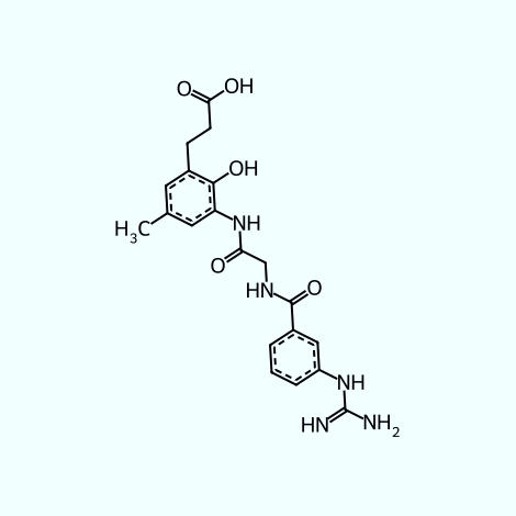 Cc1cc(CCC(=O)O)c(O)c(NC(=O)CNC(=O)c2cccc(NC(=N)N)c2)c1